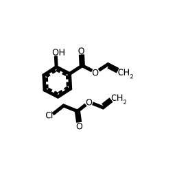 C=COC(=O)CCl.C=COC(=O)c1ccccc1O